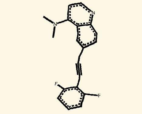 CN(C)c1ccnc2ccc(C#Cc3c(F)cccc3F)cc12